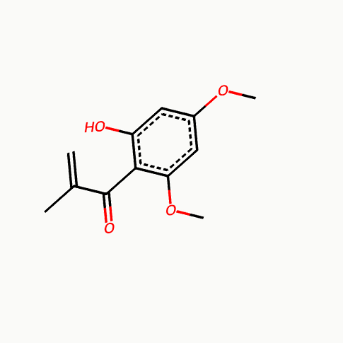 C=C(C)C(=O)c1c(O)cc(OC)cc1OC